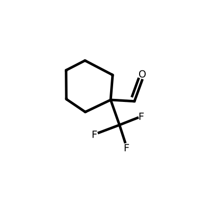 O=CC1(C(F)(F)F)CCCCC1